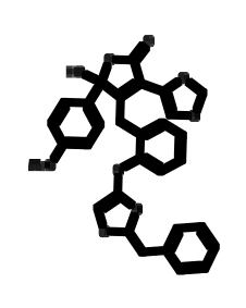 COc1ccc(C2(O)OC(=O)C(C3=COCO3)=C2Cc2ccccc2OC2=COC(Cc3ccccc3)O2)cc1